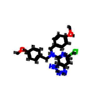 COc1ccc(CN(Cc2ccc(OC)cc2)c2nc(Cl)cc3nn[nH]c23)cc1